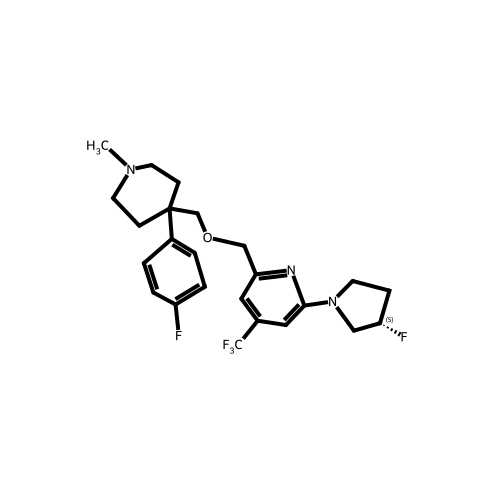 CN1CCC(COCc2cc(C(F)(F)F)cc(N3CC[C@H](F)C3)n2)(c2ccc(F)cc2)CC1